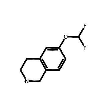 FC(F)Oc1ccc2c(c1)CC[N]C2